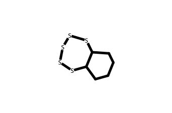 C1CCC2SSSSSC2C1